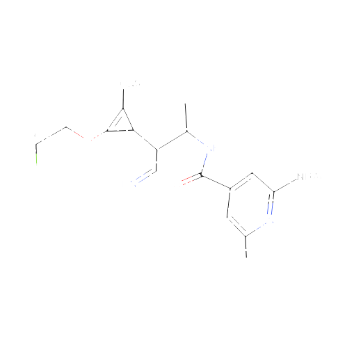 COC1=C(OC[C@@H](C)F)C1C(C=N)C(C)NC(=O)c1cc(C)nc(NC(C)=O)c1